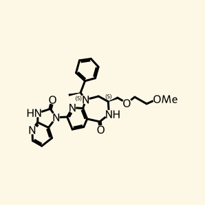 COCCOC[C@@H]1CN([C@@H](C)c2ccccc2)c2nc(-n3c(=O)[nH]c4ncccc43)ccc2C(=O)N1